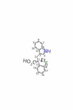 CC[C@@](Cc1c[nH]c2ccccc12)(C(=O)O)c1ccccc1F